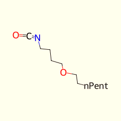 CCCCCCCOCCCCN=C=O